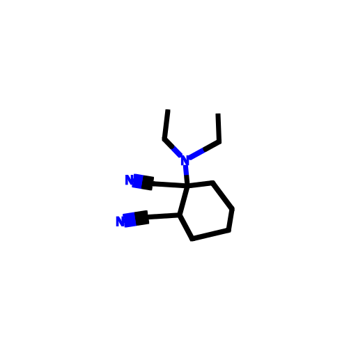 CCN(CC)C1(C#N)CCCCC1C#N